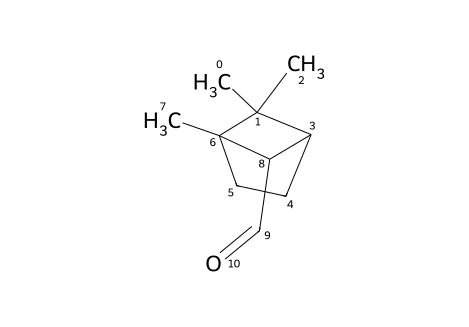 CC1(C)C2CCC1(C)C2C=O